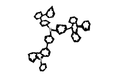 c1ccc(-c2ccccc2-c2ccc(N(c3ccc(-c4ccc5c(c4)c4ccccc4n5-c4ccccc4)cc3)c3ccc(-c4c5ccccc5c(-c5ccccc5)c5ccccc45)cc3)cc2)cc1